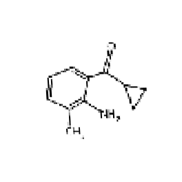 Cc1cccc(C(=O)C2CC2)c1N